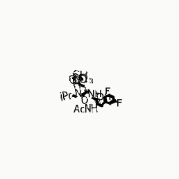 CC(=O)N[C@@H](Cc1cc(F)cc(F)c1)[C@H](O)CN[C@@H](CCS(C)(=O)=O)C(=O)NCC(C)C